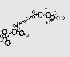 CCn1cc(C=O)c(=O)c2cc(F)c(N3CCN(C(=O)OCCSSCCOC(=O)OC4(c5ccc(Cl)cc5)CCN(CCC(C(=O)N(C)C)(c5ccccc5)c5ccccc5)CC4)CC3)cc21